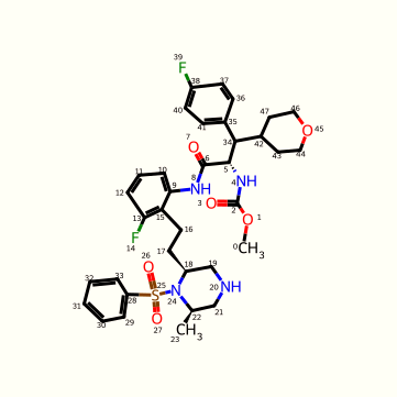 COC(=O)N[C@H](C(=O)Nc1cccc(F)c1CC[C@H]1CNC[C@@H](C)N1S(=O)(=O)c1ccccc1)C(c1ccc(F)cc1)C1CCOCC1